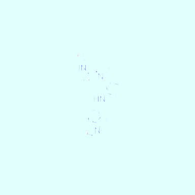 CC(=O)Nc1cccc(CNc2cccc3c2CN([C@@H]2CCC(=O)NC2=O)C3=O)c1F